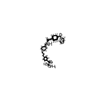 O=C(NO)c1ccc(CCCN2CCC(CNC3CC3c3ccc(C(=O)N4CCOCC4)cc3)CC2)cc1